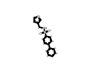 O=S(=O)(NCc1ccsc1)c1ccc(-c2ccccc2)cc1